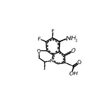 CC1COc2c(F)c(F)c(N)c3c(=O)c(C(=O)O)cn1c23